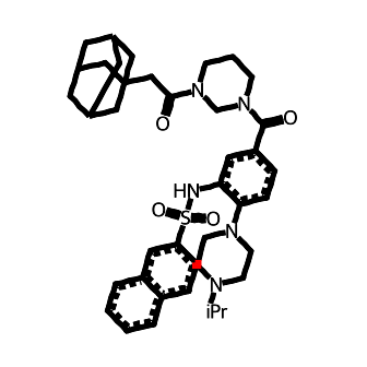 CC(C)N1CCN(c2ccc(C(=O)N3CCCN(C(=O)CC45CC6CC(CC(C6)C4)C5)C3)cc2NS(=O)(=O)c2ccc3ccccc3c2)CC1